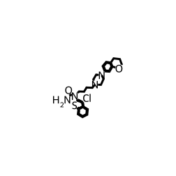 NC(=O)N(CCCCN1CCN(c2ccc3c(c2)OCCC3)CC1)c1sc2ccccc2c1Cl